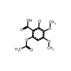 COc1cc(OC(C)=O)c(C(=O)O)c(Cl)c1OC